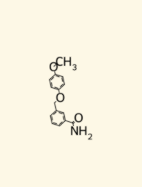 COc1ccc(OCc2cccc(C(N)=O)c2)cc1